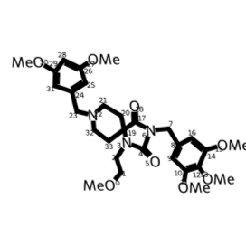 COCCN1C(=O)N(Cc2cc(OC)c(OC)c(OC)c2)C(=O)C12CCN(Cc1cc(OC)cc(OC)c1)CC2